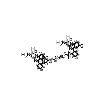 NC(N)=Nc1nc(-c2ccccc2NCCOCCOCCOCCNc2ccccc2-c2nc(N=C(N)N)nc3ccc(Cl)cc23)c2cc(Cl)ccc2n1